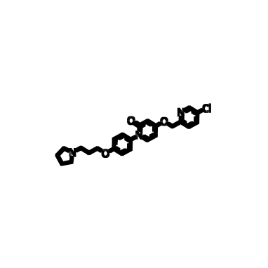 O=c1cc(OCc2ccc(Cl)cn2)ccn1-c1ccc(OCCCN2CCCC2)cc1